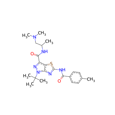 Cc1ccc(C(=O)Nc2nc3c(s2)c(C(=O)NC(C)CN(C)C)nn3C(C)(C)C)cc1